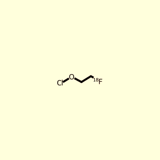 [18F]CCOCl